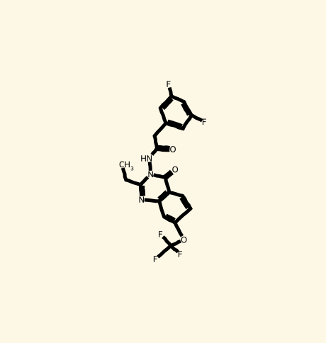 CCc1nc2cc(OC(F)(F)F)ccc2c(=O)n1NC(=O)Cc1cc(F)cc(F)c1